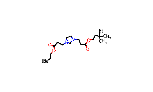 CCC(C)(C)CCOC(=O)CCN1CCN(CCC(=O)OCCC(C)(C)C)C1